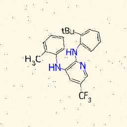 Cc1ccccc1Nc1cc(C(F)(F)F)cnc1Nc1ccccc1C(C)(C)C